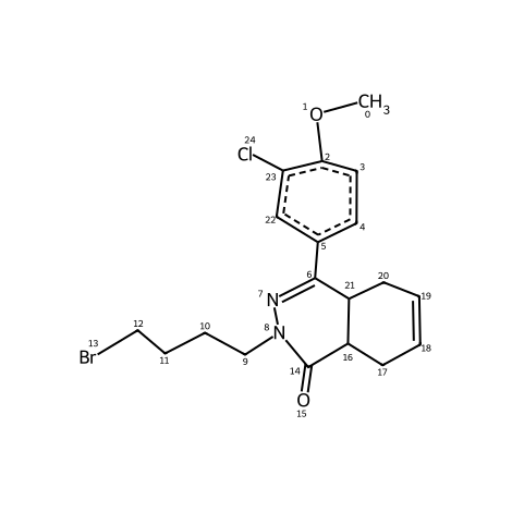 COc1ccc(C2=NN(CCCCBr)C(=O)C3CC=CCC23)cc1Cl